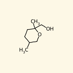 CC1CCC(C)(CO)OC1